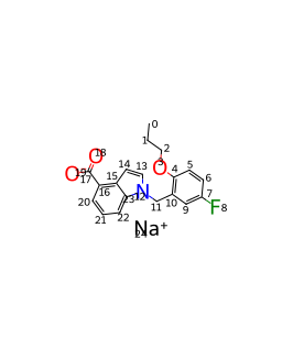 CCCOc1ccc(F)cc1Cn1ccc2c(C(=O)[O-])cccc21.[Na+]